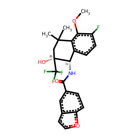 COc1c(F)ccc2c1C(C)(C)C[C@](O)(C(F)(F)F)[C@H]2NC(=O)c1ccc2occc2c1